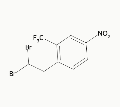 O=[N+]([O-])c1ccc(CC(Br)Br)c(C(F)(F)F)c1